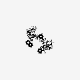 CN[C@@H](C)C(=O)N[C@H](C(=O)N[C@@H](CCNC(=O)c1cccc(C(=O)N[C@H]2C[C@@H](C(=O)N[C@@H]3CCCc4ccccc43)N(C(=O)[C@@H](NC(=O)[C@H](C)NC)C(C)(C)C)C2)c1)C(=O)N[C@H](C)c1ccccc1)C(C)C